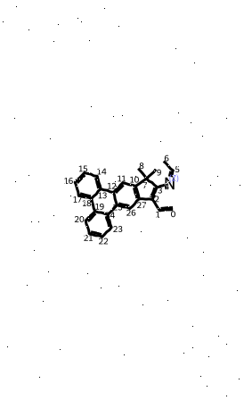 C=CC1=C(/N=C\C)C(C)(C)c2cc3c4ccccc4c4ccccc4c3cc21